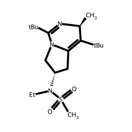 CCN([C@H]1CC2=C(C(C)(C)C)[C@H](C)N=C(C(C)(C)C)N2C1)S(C)(=O)=O